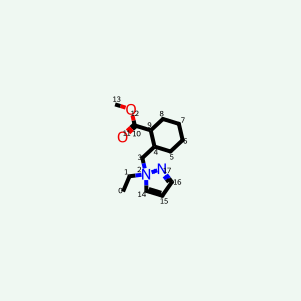 CC[N+]1(CC2CCCCC2C(=O)OC)C=CC=N1